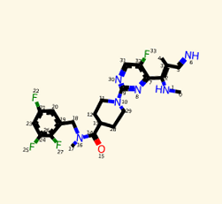 CN/C(=C(/C)C=N)c1nc(N2CCC(C(=O)N(C)Cc3cc(F)cc(F)c3F)CC2)ncc1F